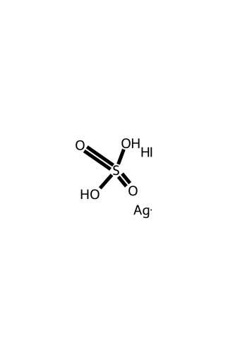 I.O=S(=O)(O)O.[Ag]